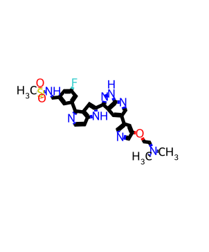 CN(C)CCOc1cncc(-c2cnc3[nH]nc(-c4cc5c(-c6cc(F)cc(CNS(C)(=O)=O)c6)nccc5[nH]4)c3c2)c1